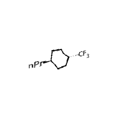 CCC[C@H]1CC[C@H](C(F)(F)F)CC1